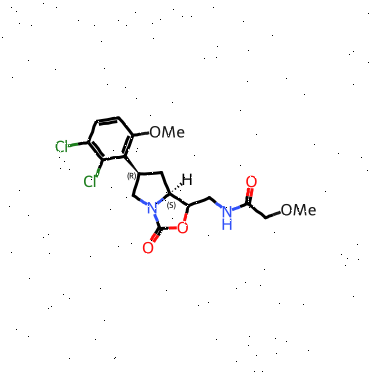 COCC(=O)NCC1OC(=O)N2C[C@@H](c3c(OC)ccc(Cl)c3Cl)C[C@@H]12